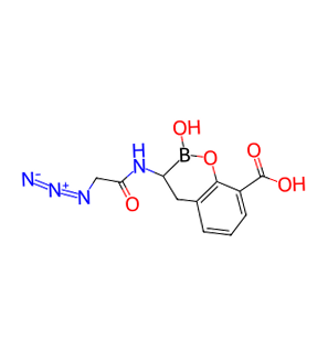 [N-]=[N+]=NCC(=O)NC1Cc2cccc(C(=O)O)c2OB1O